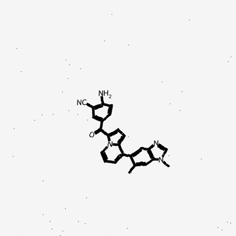 Cc1cc2c(cc1-c1cccn3c(C(=O)c4ccc(N)c(C#N)c4)ccc13)ncn2C